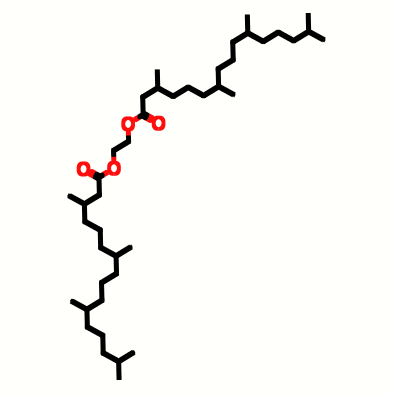 CC(C)CCCC(C)CCCC(C)CCCC(C)CC(=O)OCCOC(=O)CC(C)CCCC(C)CCCC(C)CCCC(C)C